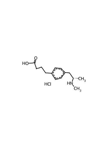 CN[C@@H](C)Cc1ccc(CCCC(=O)O)cc1.Cl